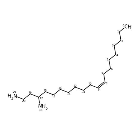 CCCCCCCC/C=C\CCCCCCCC(N)CCN